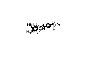 CCc1c(Nc2nc(-c3ccc(C(=O)NC(C)C)cc3)nn2C)ccc(N)c1C=N